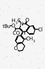 Cc1c(-c2c(C(OC(C)(C)C)C(=O)O)n(C)c(=O)c3cc(Cl)ccc23)ccc2c1CCCO2